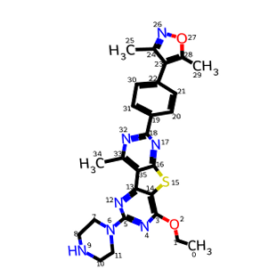 CCOc1nc(N2CCNCC2)nc2c1sc1nc(-c3ccc(-c4c(C)noc4C)cc3)nc(C)c12